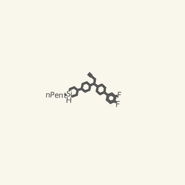 C#CCC(C1CCC(c2ccc(F)c(F)c2)CC1)C1CCC(C2CC[SiH](CCCCC)CC2)CC1